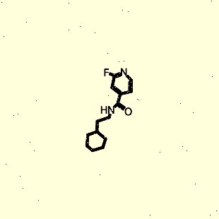 O=C(NCCC1CCCCC1)c1ccnc(F)c1